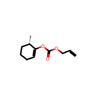 C=CCOC(=O)OC1=CCCC[C@@H]1C